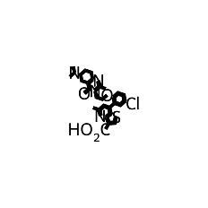 Cc1cc(-c2cc(Cl)ccc2OCCn2c(C)nc3c(c2=O)C[C@@H](N(C)C)CC3)c2scc(C(=O)O)c2n1